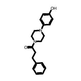 O=C(CCc1ccccc1)N1CCN(c2ccc(O)cc2)CC1